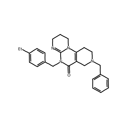 CCc1ccc(CN2C(=O)C3=C(CCN(Cc4ccccc4)C3)N3CCCN=C23)cc1